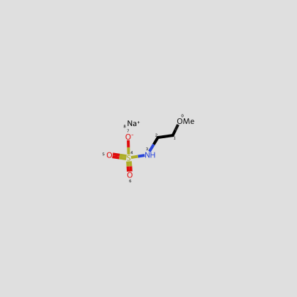 COCCNS(=O)(=O)[O-].[Na+]